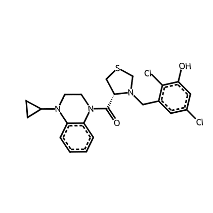 O=C([C@@H]1CSCN1Cc1cc(Cl)cc(O)c1Cl)N1CCN(C2CC2)c2ccccc21